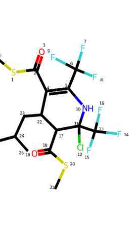 CSC(=O)C1=C(C(F)(F)F)NC(Cl)(C(F)(F)F)C(C(=O)SC)C1CC(C)C